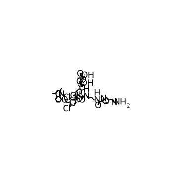 CS(=O)(=O)O.CS(=O)(=O)O.Cc1cc(C)c2cccc(OCc3c(Cl)ccc(S(=O)(=O)N4CCC[C@H]4C(=O)NCCCNC(=O)c4ccc(C=NN)cn4)c3Cl)c2n1